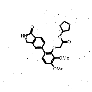 COc1ccc(-c2ccc3c(c2)CNC3=O)c(OCC(=O)OC2CCCC2)c1OC